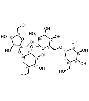 OC[C@H]1C[C@H](O[C@]2(CO)O[C@H](CO)[C@@H](O)[C@@H]2O)[C@H](O[C@H]2O[C@H](CO[C@H]3O[C@H](CO)[C@H](O)[C@H](O)[C@H]3O)[C@H](O)[C@H](O)[C@H]2O)[C@@H](O)[C@@H]1O